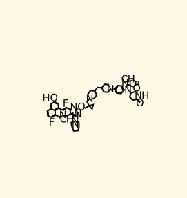 C#Cc1c(F)ccc2cc(O)cc(-c3ncc4c(N5CC6CCC(C5)N6)nc(OCC5(CN6CCC(CC7CCN(c8ccc9c(c8)n(C)c(=O)n9C8CCC(=O)NC8=O)CC7)CC6)CC5)nc4c3F)c12